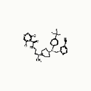 CC(CCNC(=O)c1c(Cl)cncc1Cl)N1CCC(N(Cc2cccc(C#N)c2)c2ccc(C(F)(F)F)cc2)CC1